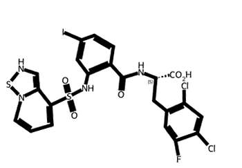 O=C(N[C@@H](Cc1cc(F)c(Cl)cc1Cl)C(=O)O)c1ccc(I)cc1NS(=O)(=O)C1=CC=CN2SNC=C12